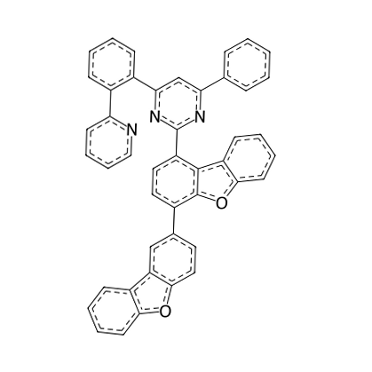 c1ccc(-c2cc(-c3ccccc3-c3ccccn3)nc(-c3ccc(-c4ccc5oc6ccccc6c5c4)c4oc5ccccc5c34)n2)cc1